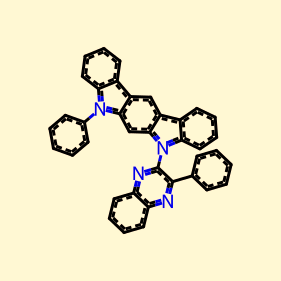 c1ccc(-c2nc3ccccc3nc2-n2c3ccccc3c3cc4c5ccccc5n(-c5ccccc5)c4cc32)cc1